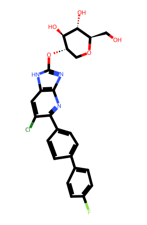 OC[C@H]1OC[C@H](Oc2nc3nc(-c4ccc(-c5ccc(F)cc5)cc4)c(Cl)cc3[nH]2)[C@@H](O)[C@@H]1O